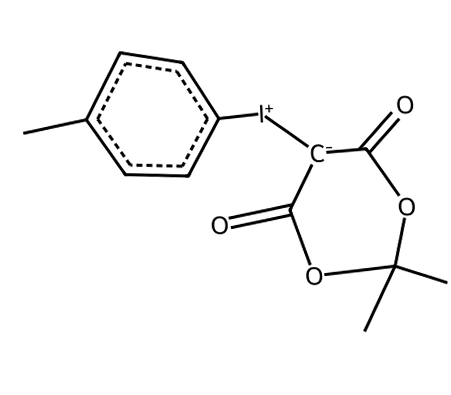 Cc1ccc([I+][C-]2C(=O)OC(C)(C)OC2=O)cc1